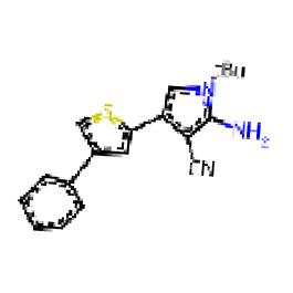 CC(C)(C)n1cc(-c2cc(-c3ccccc3)cs2)c(C#N)c1N